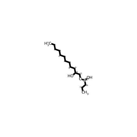 CCCCCCCCCCC(O)COB(O)CCC